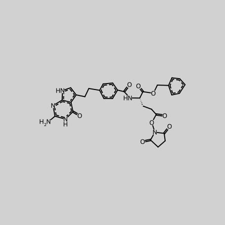 Nc1nc2[nH]cc(CCc3ccc(C(=O)N[C@@H](CCC(=O)ON4C(=O)CCC4=O)C(=O)OCc4ccccc4)cc3)c2c(=O)[nH]1